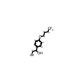 OC(CBr)c1ccc(OCCCC(F)(F)F)cc1